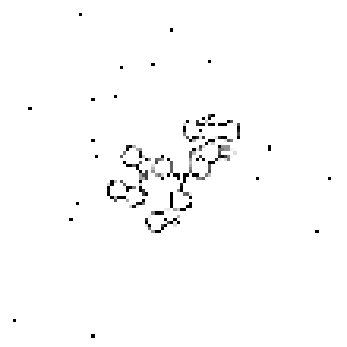 c1ccc2c(c1)Sc1ccccc1C21c2ccccc2-c2ccc(N(c3ccc4sc5ccccc5c4c3)c3ccc4c5ccccc5n(-c5cccc6ccccc56)c4c3)c3cccc1c23